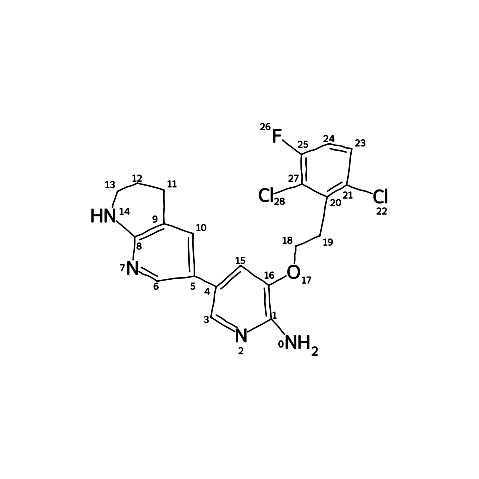 Nc1ncc(-c2cnc3c(c2)CCCN3)cc1OCCc1c(Cl)ccc(F)c1Cl